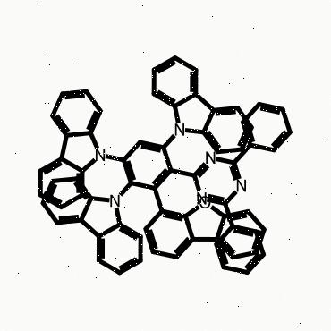 c1ccc(-c2nc(-c3ccccc3)nc(-c3c(-n4c5ccccc5c5ccccc54)cc(-n4c5ccccc5c5ccccc54)c(-n4c5ccccc5c5ccccc54)c3-c3cccc4c3oc3ccccc34)n2)cc1